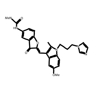 CNC(=O)Nc1ccc2c(c1)C(=O)C(=Cc1c(C)n(CCCn3ccnc3)c3ccc(OC)cc13)O2